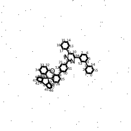 c1ccc(-c2cccc(-c3cc(-c4ccccc4)nc(-c4ccc(-c5cccc6c5Oc5ccccc5C65c6ccccc6-c6ccccc65)cc4)n3)c2)cc1